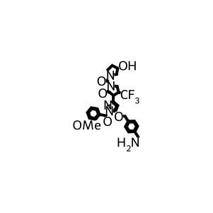 COc1ccccc1C(=O)n1nc(C2C(=O)N(C(=O)N3CCC(O)C3)CC2C(F)(F)F)cc1OCc1ccc(CN)cc1